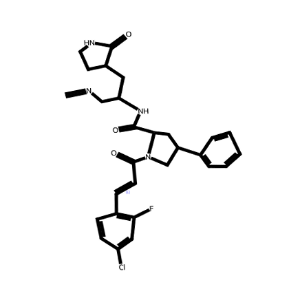 C=NCC(CC1CCNC1=O)NC(=O)C1CC(c2ccccc2)CN1C(=O)/C=C/c1ccc(Cl)cc1F